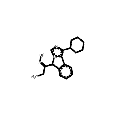 CC/C(=N/O)C1c2ccccc2-c2c(C3CCCCC3)ncn21